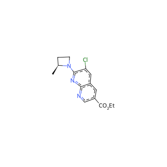 CCOC(=O)c1cnc2nc(N3CC[C@@H]3C)c(Cl)cc2c1